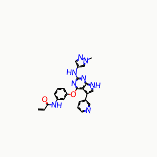 C=CC(=O)Nc1cccc(Oc2nc(Nc3cnn(C)c3)nc3[nH]cc(-c4cccnc4)c23)c1